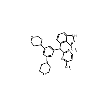 Cc1n[nH]c2cccc(N(c3cc(N4CCOCC4)cc(N4CCOCC4)c3)c3nccc(N)n3)c12